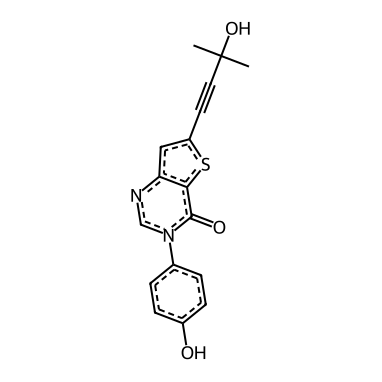 CC(C)(O)C#Cc1cc2ncn(-c3ccc(O)cc3)c(=O)c2s1